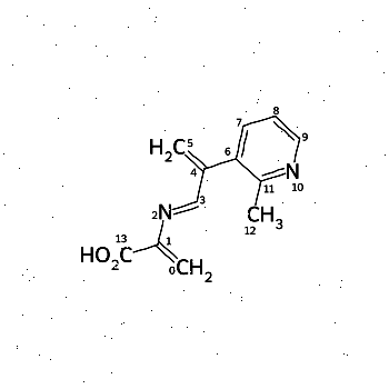 C=C(/N=C/C(=C)c1cccnc1C)C(=O)O